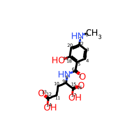 CNc1ccc(C(=O)NC(CCC(=O)O)C(=O)O)c(O)c1